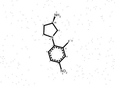 N[C@@H]1CCN(c2ccc([N+](=O)[O-])cc2F)C1